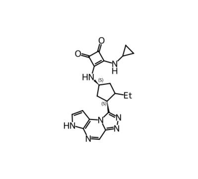 CCC1C[C@H](Nc2c(NC3CC3)c(=O)c2=O)C[C@@H]1c1nnc2cnc3[nH]ccc3n12